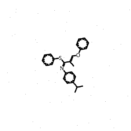 CC(=C\Oc1ccccc1)/C(=N\c1ccc(C(C)C)cc1)Sc1ccccc1